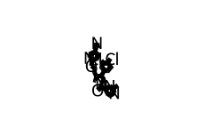 Cc1nccc(C(=O)N2CC(CCOc3ccc(C#N)cn3)C(c3ccc(Cl)c(Cl)c3)C2)n1